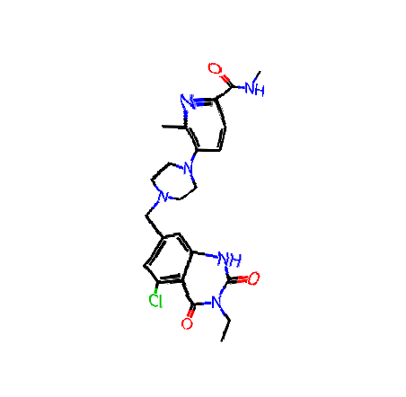 CCn1c(=O)[nH]c2cc(CN3CCN(c4ccc(C(=O)NC)nc4C)CC3)cc(Cl)c2c1=O